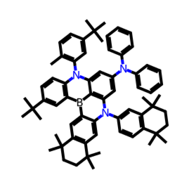 Cc1ccc(C(C)(C)C)cc1N1c2ccc(C(C)(C)C)cc2B2c3cc4c(cc3N(c3ccc5c(c3)C(C)(C)CCC5(C)C)c3cc(N(c5ccccc5)c5ccccc5)cc1c32)C(C)(C)CCC4(C)C